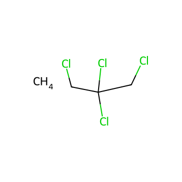 C.ClCC(Cl)(Cl)CCl